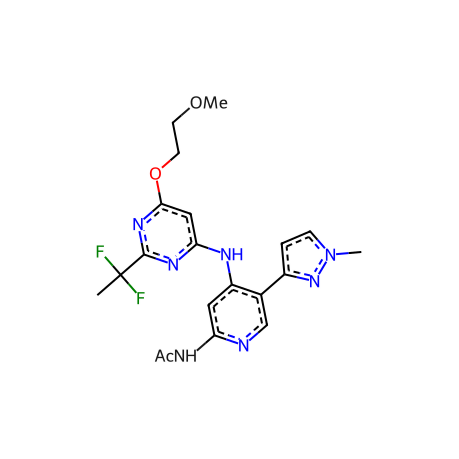 COCCOc1cc(Nc2cc(NC(C)=O)ncc2-c2ccn(C)n2)nc(C(C)(F)F)n1